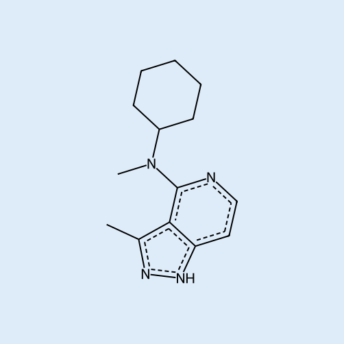 Cc1n[nH]c2ccnc(N(C)C3CCCCC3)c12